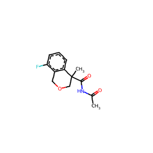 CC(=O)NC(=O)C1(C)COCc2c(F)cccc21